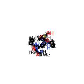 CN[C@@H](C)C(=O)N[C@H](C(=O)N1C[C@@H](c2ccc3c(c2)CN(C(=O)[C@@H](NC(=O)[C@H](C)NC)C(C)(C)SCCO)[C@H](C(=O)N[C@@H]2CCCc4ccccc42)C3)C[C@H]1C(=O)N[C@@H]1CCCc2ccccc21)C(C)(C)C